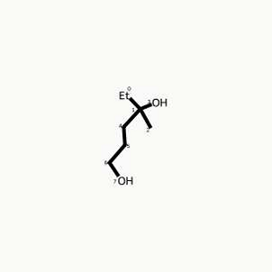 [CH2]CC(C)(O)CCCO